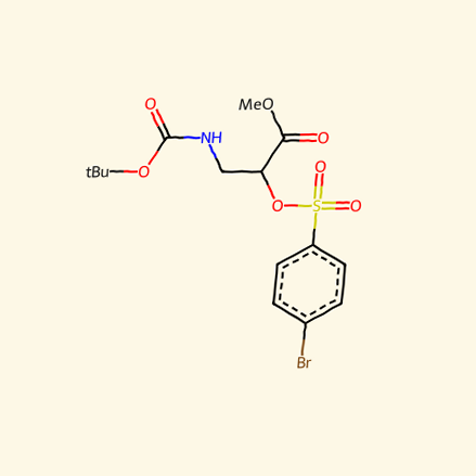 COC(=O)C(CNC(=O)OC(C)(C)C)OS(=O)(=O)c1ccc(Br)cc1